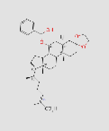 C/C(=C\CC[C@@H](C)[C@H]1CCC2C3C(CC[C@@]21C)[C@@]1(C)CCC2(C[C@@H]1C[C@H]3OC(O)c1ccccc1)OCCO2)C(=O)O